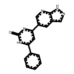 O=c1nc(-c2cnc3[nH]ncc3c2)cc(-c2ccccc2)[nH]1